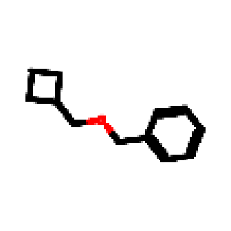 [CH]1CC(COCc2ccccc2)C1